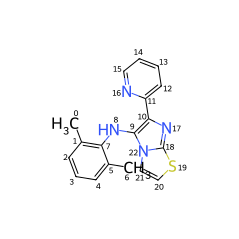 Cc1cccc(C)c1Nc1c(-c2ccccn2)nc2sccn12